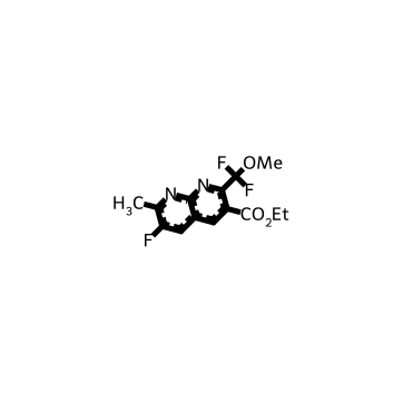 CCOC(=O)c1cc2cc(F)c(C)nc2nc1C(F)(F)OC